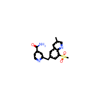 Cc1cnc2c(S(C)(=O)=O)cc(Cc3cc(C(N)=O)ccn3)cc2c1